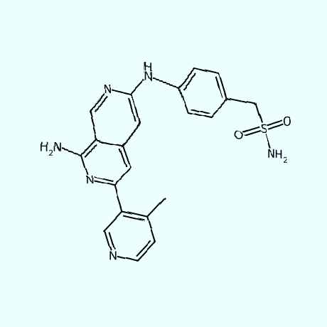 Cc1ccncc1-c1cc2cc(Nc3ccc(CS(N)(=O)=O)cc3)ncc2c(N)n1